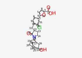 O=C(O)c1ccc(-c2ccc(CC3CCN(C4C5CC6CC4CC(O)(C6)C5)C3=O)c(Cl)c2)o1